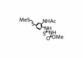 COC(=O)NC(=S)Nc1ccc(SCSC)cc1NC(C)=O